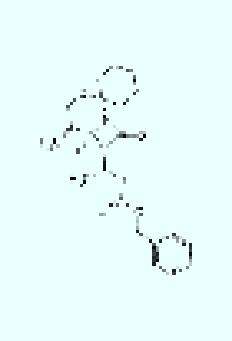 C=C1COC2(CCCCC2)N2C(=O)C([C@@H](C)OC(=O)OCc3ccccc3)[C@@H]12